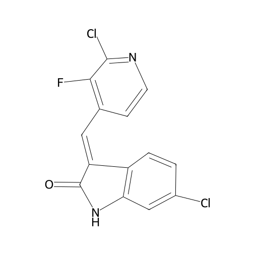 O=C1Nc2cc(Cl)ccc2/C1=C\c1ccnc(Cl)c1F